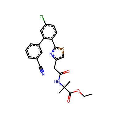 CCOC(=O)C(C)(C)NC(=O)Cc1csc(-c2ccc(Cl)cc2-c2cccc(C#N)c2)n1